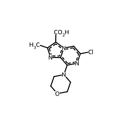 Cc1nc2c(N3CCOCC3)nc(Cl)cn2c1C(=O)O